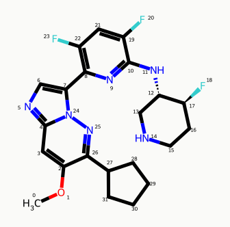 COc1cc2ncc(-c3nc(N[C@H]4CNCC[C@@H]4F)c(F)cc3F)n2nc1C1CCCC1